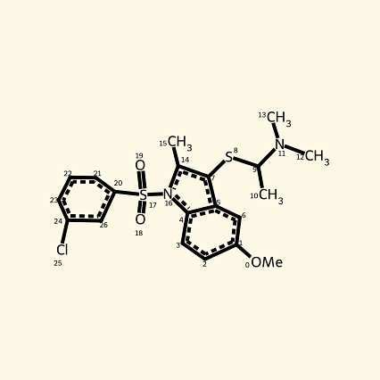 COc1ccc2c(c1)c(SC(C)N(C)C)c(C)n2S(=O)(=O)c1cccc(Cl)c1